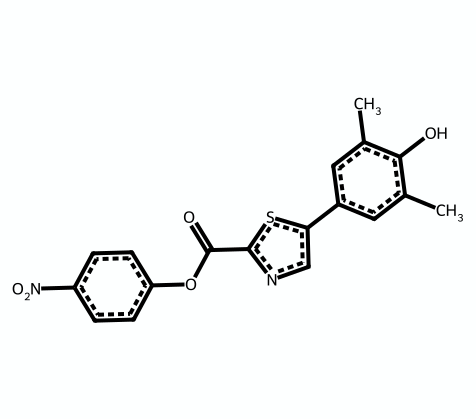 Cc1cc(-c2cnc(C(=O)Oc3ccc([N+](=O)[O-])cc3)s2)cc(C)c1O